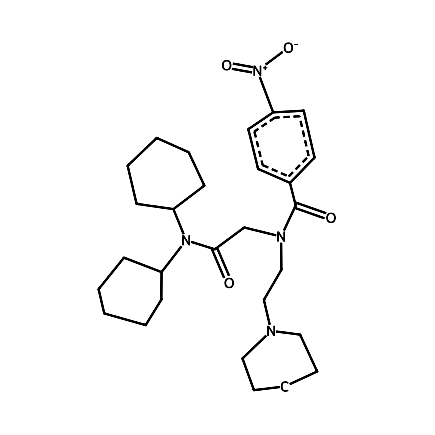 O=C(c1ccc([N+](=O)[O-])cc1)N(CCN1CCCCC1)CC(=O)N(C1CCCCC1)C1CCCCC1